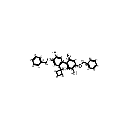 CCc1cc(-c2cc(CC)c(OCc3ccccc3)cc2C2(O)CCC2)c(F)cc1OCc1ccccc1